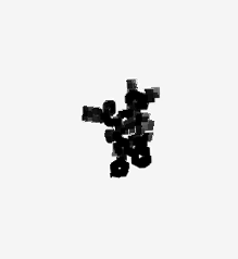 CC(C[C@@H](CC(=O)O)NC(=O)c1cc(-c2ccccc2C(F)(F)F)n(C2CCCC2)n1)N1C[C@@H](F)[C@H](F)C1